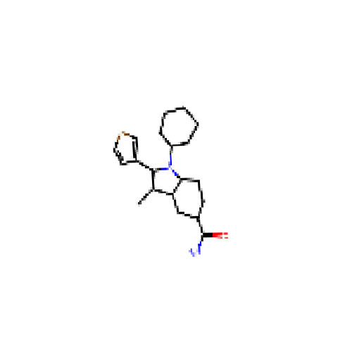 CC1C2CC(C(N)=O)CCC2N(C2CCCCC2)C1c1ccsc1